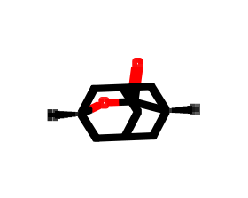 O=C1O[C@H]2CC3CC(C2)C[C@H]1C3